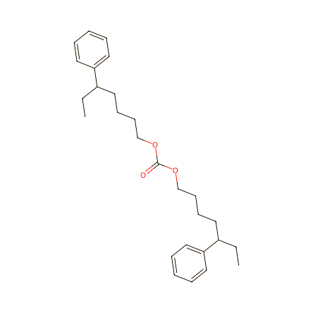 CCC(CCCCOC(=O)OCCCCC(CC)c1ccccc1)c1ccccc1